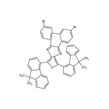 CC1(C)c2ccccc2-c2c(-c3sc(-c4cccc5c4-c4ccccc4C5(C)C)c4nc5c6ccc(Br)cc6c6cc(Br)ccc6c5nc34)cccc21